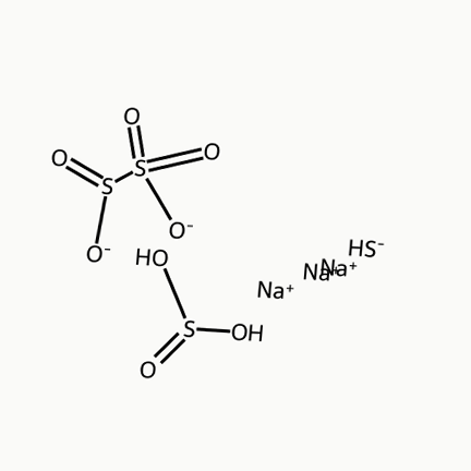 O=S(O)O.O=S([O-])S(=O)(=O)[O-].[Na+].[Na+].[Na+].[SH-]